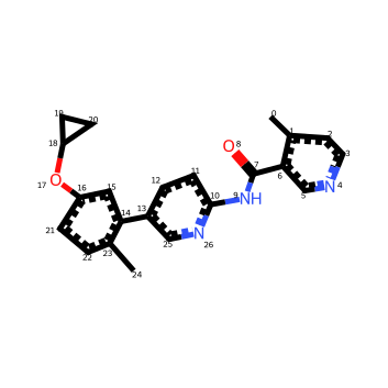 Cc1ccncc1C(=O)Nc1ccc(-c2cc(OC3CC3)ccc2C)cn1